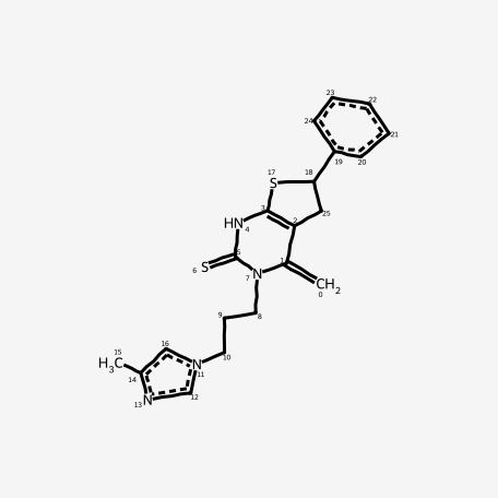 C=C1C2=C(NC(=S)N1CCCn1cnc(C)c1)SC(c1ccccc1)C2